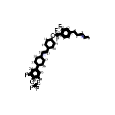 C/C=C/CCc1ccc(C(F)(F)OC2CCC(/C=C/C3CCC(c4cc(F)c(OC(F)(F)F)c(F)c4)CC3)CC2)c(F)c1